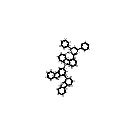 C1=C(c2ccccc2)N=C(c2cccc3c2c2ccccc2n3-c2cc(-c3cccc4c3oc3ccccc34)c3sc4ccccc4c3c2)NC1c1ccccc1